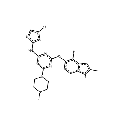 Cc1cc2c(F)c(Oc3nc(Nc4ncc(Cl)s4)cc(N4CCN(C)CC4)n3)ccc2[nH]1